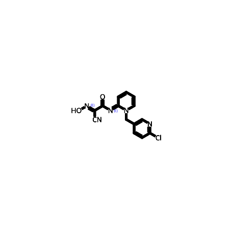 N#C/C(=N\O)C(=O)/N=c1\ccccn1Cc1ccc(Cl)nc1